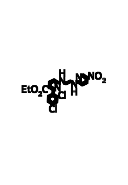 CCOC(=O)c1ccc(NCCNc2ccc([N+](=O)[O-])cn2)nc1-c1ccc(Cl)cc1Cl